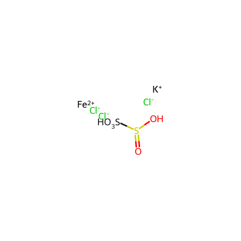 O=S(O)S(=O)(=O)O.[Cl-].[Cl-].[Cl-].[Fe+2].[K+]